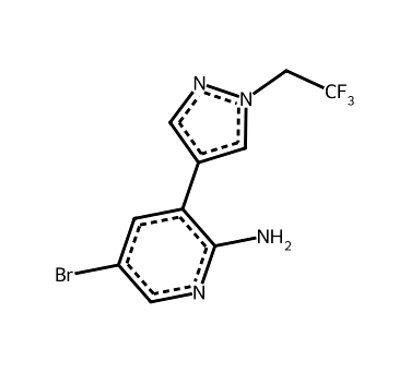 Nc1ncc(Br)cc1-c1cnn(CC(F)(F)F)c1